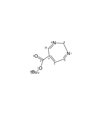 CC(C)(C)OC(=O)C1=CC=NCN=C1